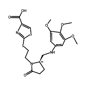 COc1cc(NC[C@H]2CCC(=O)N2CCSc2nc(C(=O)O)cs2)cc(OC)c1OC